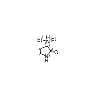 CCNCC.O=C1CCCN1